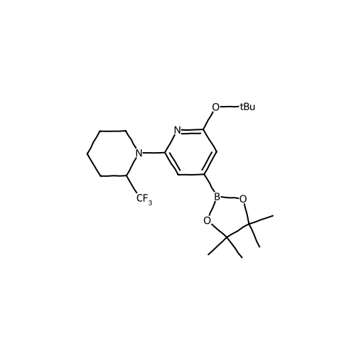 CC(C)(C)Oc1cc(B2OC(C)(C)C(C)(C)O2)cc(N2CCCCC2C(F)(F)F)n1